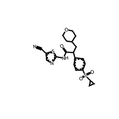 N#Cc1cnc(NC(=O)C(CC2CCOCC2)c2ccc(S(=O)(=O)C3CC3)cc2)s1